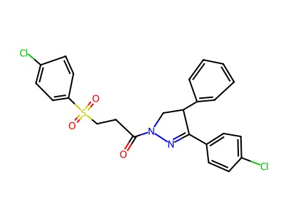 O=C(CCS(=O)(=O)c1ccc(Cl)cc1)N1CC(c2ccccc2)C(c2ccc(Cl)cc2)=N1